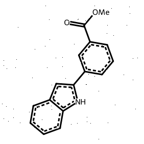 COC(=O)c1cccc(-c2cc3ccccc3[nH]2)c1